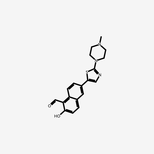 CN1CCN(c2ncc(-c3ccc4c(C=O)c(O)ccc4c3)s2)CC1